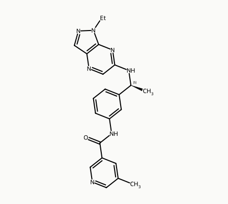 CCn1ncc2ncc(N[C@@H](C)c3cccc(NC(=O)c4cncc(C)c4)c3)nc21